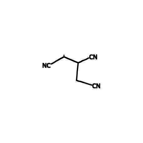 N#C[CH]C(C#N)CC#N